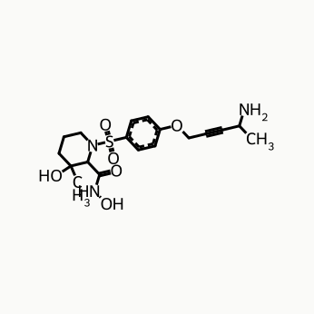 CC(N)C#CCOc1ccc(S(=O)(=O)N2CCCC(C)(O)C2C(=O)NO)cc1